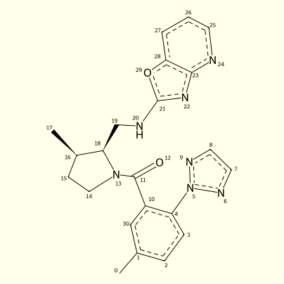 Cc1ccc(-n2nccn2)c(C(=O)N2CC[C@@H](C)[C@H]2CNc2nc3ncccc3o2)c1